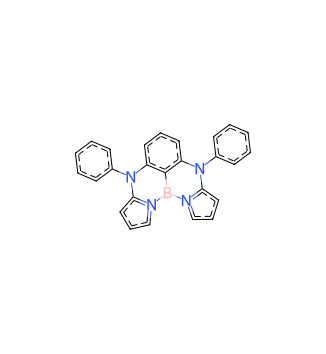 c1ccc(N2c3cccc4c3B(n3cccc32)n2cccc2N4c2ccccc2)cc1